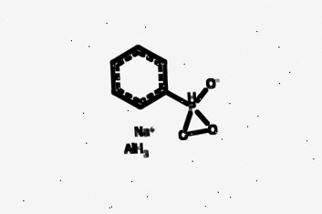 [AlH3].[Na+].[O-][PH]1(c2ccccc2)OO1